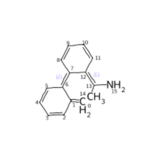 C=c1cccc/c1=c1\cccc\c1=C(\C)N